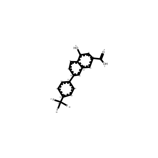 O=C(O)c1cc(O)c2ccc(-c3ccc(C(F)(F)F)cc3)cc2c1